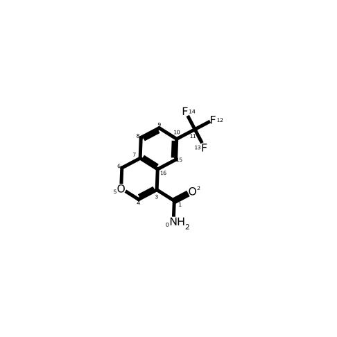 NC(=O)C1=COCc2ccc(C(F)(F)F)cc21